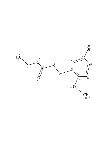 CCOC(=O)CCc1cc(Br)ccc1OC